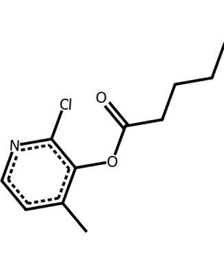 CCCCC(=O)Oc1c(C)ccnc1Cl